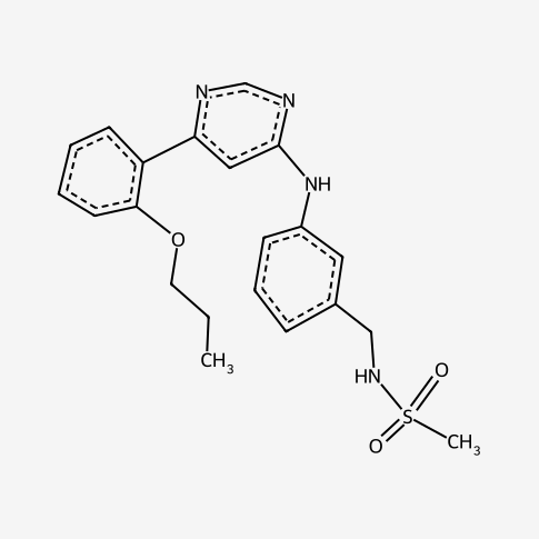 CCCOc1ccccc1-c1cc(Nc2cccc(CNS(C)(=O)=O)c2)ncn1